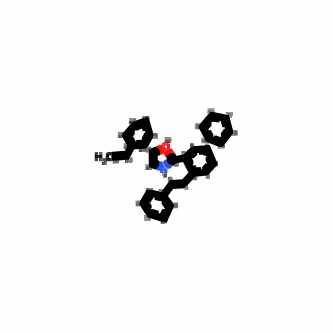 C(=Cc1ccccc1-c1ncco1)c1ccccc1.C=Cc1ccccc1.c1ccccc1